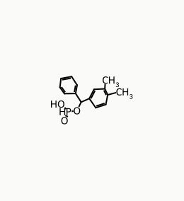 Cc1ccc(C(O[PH](=O)O)c2ccccc2)cc1C